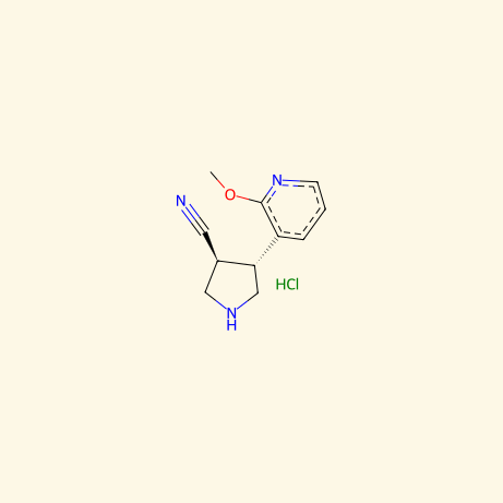 COc1ncccc1[C@@H]1CNC[C@H]1C#N.Cl